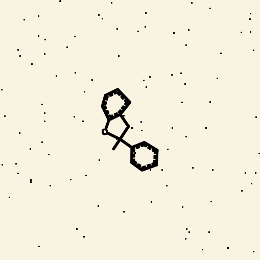 CC1(c2ccccc2)Cc2ccccc2O1